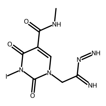 CNC(=O)c1cn(CC(=N)N=N)c(=O)n(I)c1=O